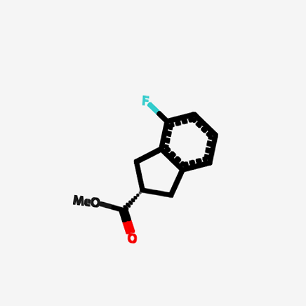 COC(=O)[C@H]1Cc2cccc(F)c2C1